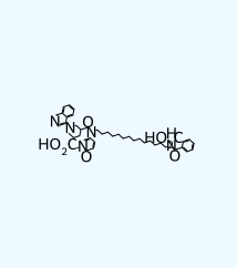 O=C(O)Cn1cc(N(CCCCCCCCCCCCCCNC(=O)c2ccccc2C(=O)O)C(=O)C2CCCN(c3cncc4ccccc34)C2)ccc1=O